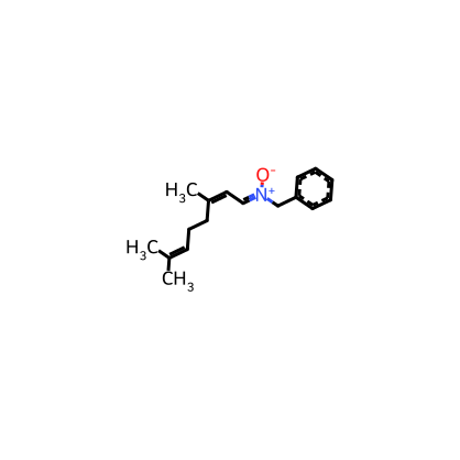 CC(C)=CCCC(C)=CC=[N+]([O-])Cc1ccccc1